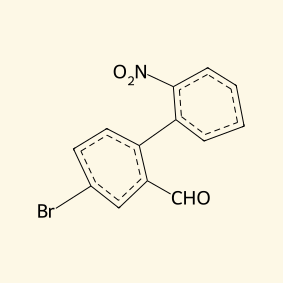 O=Cc1cc(Br)ccc1-c1ccccc1[N+](=O)[O-]